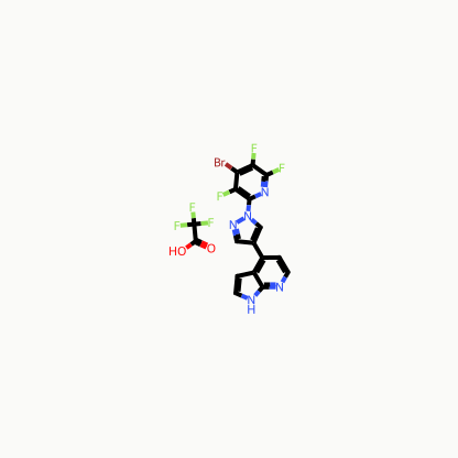 Fc1nc(-n2cc(-c3ccnc4[nH]ccc34)cn2)c(F)c(Br)c1F.O=C(O)C(F)(F)F